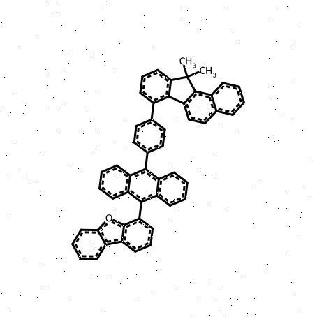 CC1(C)c2cccc(-c3ccc(-c4c5ccccc5c(-c5cccc6c5oc5ccccc56)c5ccccc45)cc3)c2-c2ccc3ccccc3c21